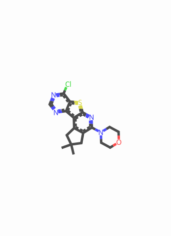 CC1(C)Cc2c(N3CCOCC3)nc3sc4c(Cl)ncnc4c3c2C1